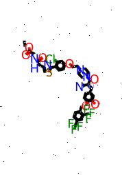 CCOC(=O)CNC(=O)Cc1csc(-c2ccc(OCCN3CCN(C(=O)/C(C#N)=C/c4ccc(OCc5ccc(C(F)(F)F)cc5C(F)(F)F)c(OC)c4)CC3)cc2Cl)n1